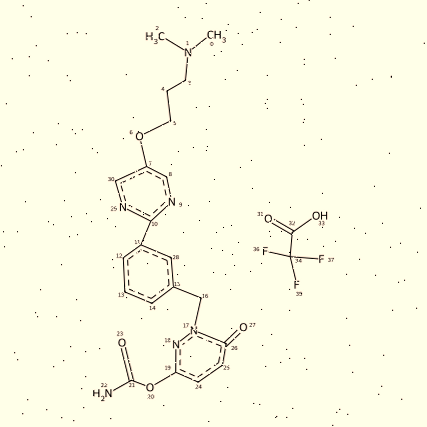 CN(C)CCCOc1cnc(-c2cccc(Cn3nc(OC(N)=O)ccc3=O)c2)nc1.O=C(O)C(F)(F)F